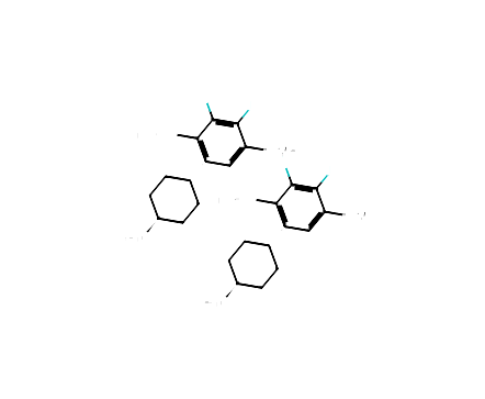 CCCCCCCc1c(F)c(F)c(OC)cc1[C@H]1CC[C@H](CCCCC)CC1.CCCCCc1c(F)c(F)c(OC)cc1[C@H]1CC[C@H](CCCCC)CC1